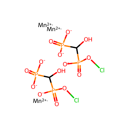 O=P([O-])([O-])C(O)P(=O)([O-])OCl.O=P([O-])([O-])C(O)P(=O)([O-])OCl.[Mn+2].[Mn+2].[Mn+2]